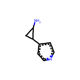 NC1CC1c1ccncc1